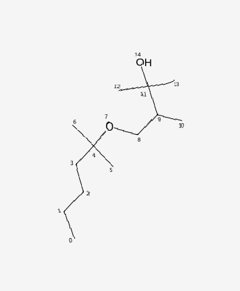 CCCCC(C)(C)OCC(C)C(C)(C)O